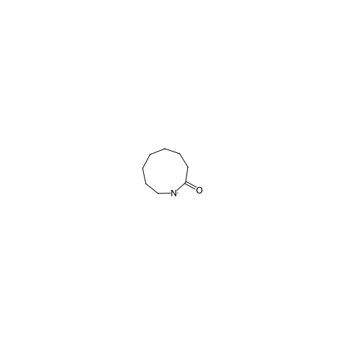 O=C1CCCCCCC[N]1